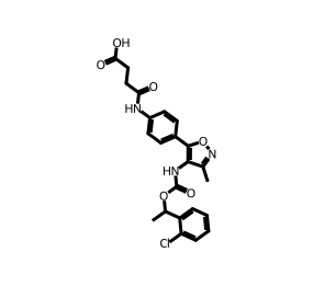 Cc1noc(-c2ccc(NC(=O)CCC(=O)O)cc2)c1NC(=O)OC(C)c1ccccc1Cl